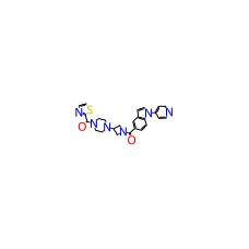 O=C(c1ccc2c(ccn2-c2ccncc2)c1)N1CC(N2CCN(C(=O)c3nccs3)CC2)C1